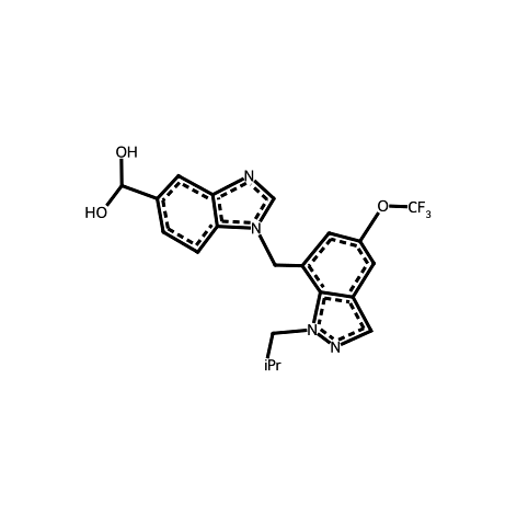 CC(C)Cn1ncc2cc(OC(F)(F)F)cc(Cn3cnc4cc(C(O)O)ccc43)c21